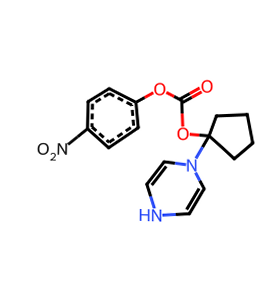 O=C(Oc1ccc([N+](=O)[O-])cc1)OC1(N2C=CNC=C2)CCCC1